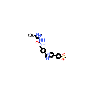 Cn1nc(C(C)(C)C)cc1NC(=O)NCc1ccc(-c2cnc3cc(-c4ccc(S(C)(=O)=O)cc4)ccn23)cc1